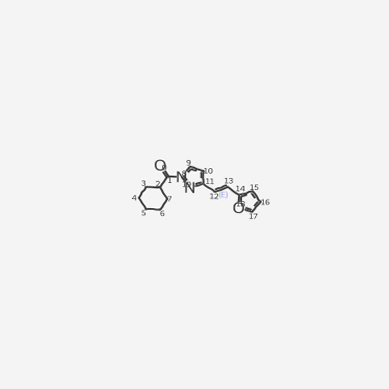 O=C(C1CCCCC1)n1ccc(/C=C/c2ccco2)n1